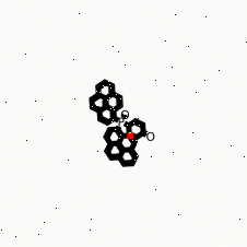 O=C1C=CC(P(=O)(c2ccc3ccc4cccc5ccc2c3c45)c2ccc3ccc4cccc5ccc2c3c45)CC1